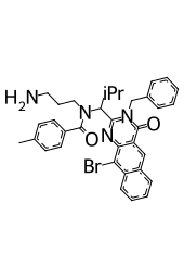 Cc1ccc(C(=O)N(CCCN)C(c2nc3c(Br)c4ccccc4cc3c(=O)n2Cc2ccccc2)C(C)C)cc1